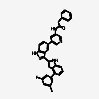 Cc1cc(F)cc(-c2cccc3[nH]c(-c4n[nH]c5ccc(-c6cncc(NC(=O)Cc7ccccc7)c6)cc45)cc23)c1